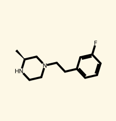 C[C@H]1CN(CCc2cccc(F)c2)CCN1